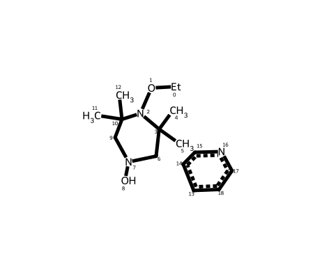 CCON1C(C)(C)CN(O)CC1(C)C.c1ccncc1